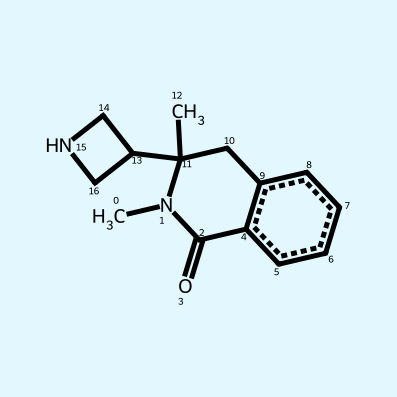 CN1C(=O)c2ccccc2CC1(C)C1CNC1